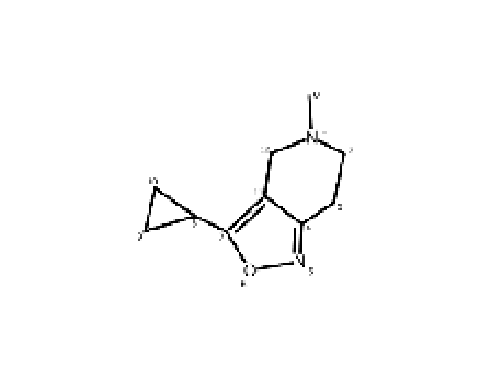 CN1CCc2noc(C3CC3)c2C1